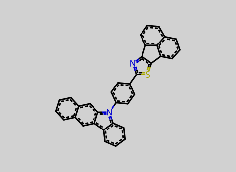 c1ccc2cc3c(cc2c1)c1ccccc1n3-c1ccc(-c2nc3c(s2)-c2cccc4cccc-3c24)cc1